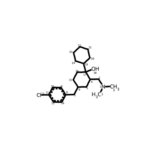 CN(C)CC1CC(Cc2ccc(Cl)cc2)CCC1(O)C1CCCCC1